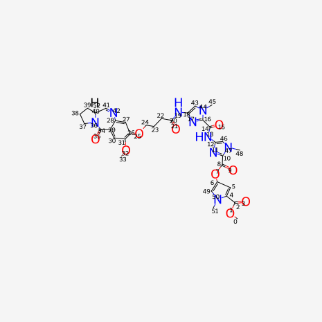 COC(=O)c1cc(OC(=O)c2nc(NC(=O)c3nc(NC(=O)CCCOc4cc5c(cc4OC)C(=O)N4CCC[C@H]4C=N5)cn3C)cn2C)cn1C